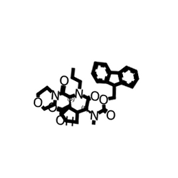 CCCN(C(=O)[C@H](C1CCCC1)N(C)C(=O)OCC1c2ccccc2-c2ccccc21)[C@@H](CC(=O)O)C(=O)N1CCOCC1